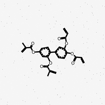 C=CC(=O)Oc1ccc(-c2ccc(OC(=O)C(=C)C)cc2OC(=O)C(=C)C)cc1OC(=O)C=C